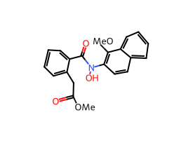 COC(=O)Cc1ccccc1C(=O)N(O)c1ccc2ccccc2c1OC